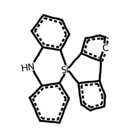 c1ccc2c(c1)Nc1ccccc1[Si]21c2ccccc2-c2ccccc21